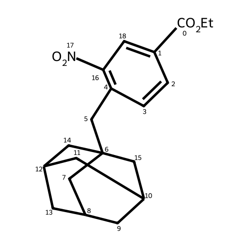 CCOC(=O)c1ccc(CC23CC4CC(CC(C4)C2)C3)c([N+](=O)[O-])c1